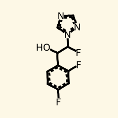 OC(c1ccc(F)cc1F)C(F)n1cncn1